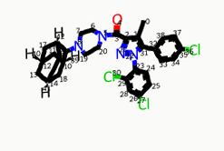 Cc1c(C(=O)N2CCN(C3[C@H]4C[C@@H]5C[C@@H](C[C@H]3C5)C4)CC2)nn(-c2ccc(Cl)cc2Cl)c1-c1ccc(Cl)cc1